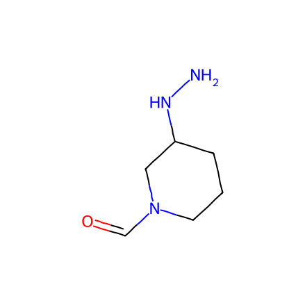 NNC1CCCN(C=O)C1